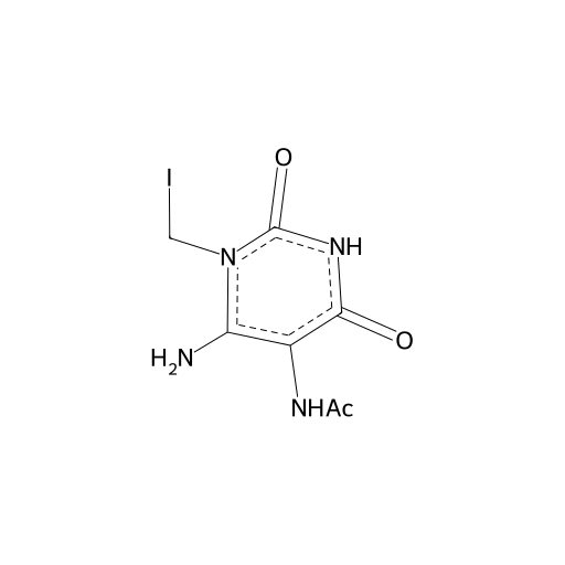 CC(=O)Nc1c(N)n(CI)c(=O)[nH]c1=O